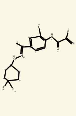 C=C(F)C(=O)Nc1ccc(C(C)=NOC2CCC(F)(F)CC2)cc1F